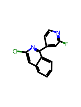 Fc1cc(-c2nc(Cl)cc3ccccc23)ccn1